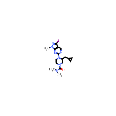 CN(C)C(=O)N1CCN(c2ncc3c(I)nn(C)c3n2)C(CC2CC2)C1